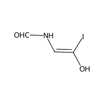 O=CNC=C(O)I